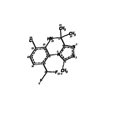 Cc1nnc2n1-c1c(C(F)F)ccc(Cl)c1NC2(C)C